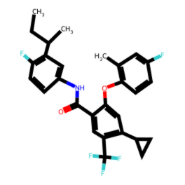 CCC(C)c1cc(NC(=O)c2cc(C(F)(F)F)c(C3CC3)cc2Oc2ccc(F)cc2C)ccc1F